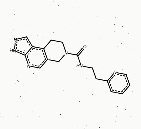 O=C(NCCc1ccccn1)N1CCc2c(cnc3[nH]ncc23)C1